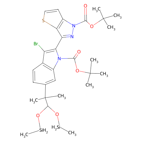 C[SiH2]OC(O[SiH2]C)C(C)(C)c1ccc2c(Br)c(-c3nn(C(=O)OC(C)(C)C)c4ccsc34)n(C(=O)OC(C)(C)C)c2c1